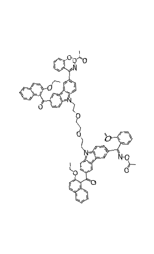 CCOc1ccc2ccccc2c1C(=O)c1ccc2c(c1)c1cc(/C(=N/OC(C)=O)c3ccccc3OC)ccc1n2CCOCCOCCn1c2ccc(C(=O)c3c(OCC)ccc4ccccc34)cc2c2cc(/C(=N/OC(C)=O)c3ccccc3OC)ccc21